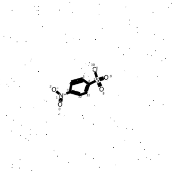 O=[N+]([O-])c1c#cc(S(=O)(=O)Cl)cc1